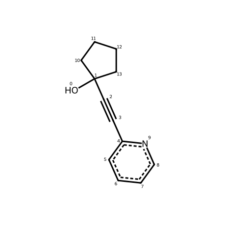 OC1(C#Cc2ccccn2)CCCC1